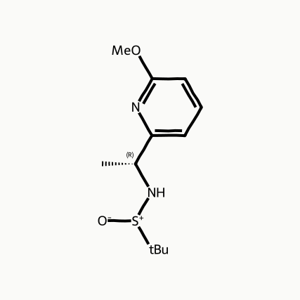 COc1cccc([C@@H](C)N[S+]([O-])C(C)(C)C)n1